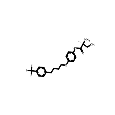 C[C@](N)(CO)C(=O)Nc1ccc(OCCCCc2ccc(C(F)(F)F)cc2)cc1